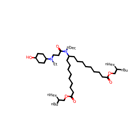 CCCCCCCCCCN(C(=O)CCN(CC)C1CCC(O)CC1)C(CCCCCCCCC(=O)OCC(CCCC)CCCCCC)CCCCCCCCC(=O)OCC(CCCC)CCCCCC